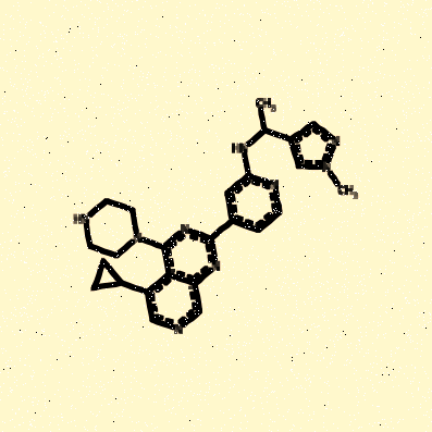 CC(Nc1cc(-c2nc(N3CCNCC3)c3c(C4CC4)cncc3n2)ccn1)c1cnn(C)c1